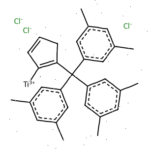 Cc1cc(C)cc(C(C2=[C]([Ti+3])C=CC2)(c2cc(C)cc(C)c2)c2cc(C)cc(C)c2)c1.[Cl-].[Cl-].[Cl-]